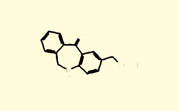 O=C(O)Cc1ccc2c(c1)C(=O)c1ccccc1CB2